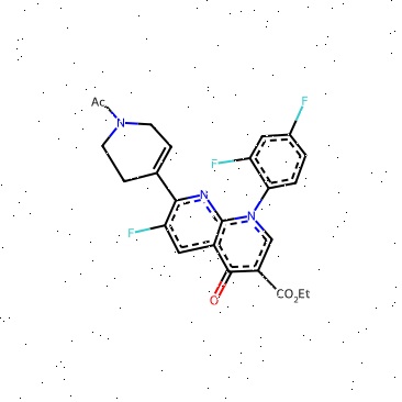 CCOC(=O)c1cn(-c2ccc(F)cc2F)c2nc(C3=CCN(C(C)=O)CC3)c(F)cc2c1=O